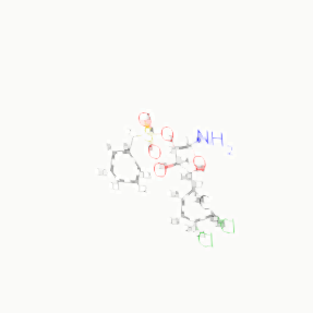 NC1=C(OS(=O)(=O)Cc2ccccc2)C(=O)C(c2ccc(Cl)c(Cl)c2)O1